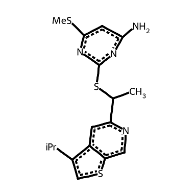 CSc1cc(N)nc(SC(C)c2cc3c(C(C)C)csc3cn2)n1